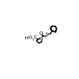 O=C(O)[C@@H]1CCCN1C(=O)CSCc1ccccc1